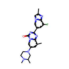 Cc1cn2cc(-c3nc(=O)n4cc(N5CCN(C)C(C)C5)cc(C)c4n3)cc(F)c2n1